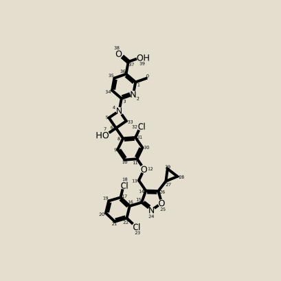 Cc1nc(N2CC(O)(c3ccc(OCc4c(-c5c(Cl)cccc5Cl)noc4C4CC4)cc3Cl)C2)ccc1C(=O)O